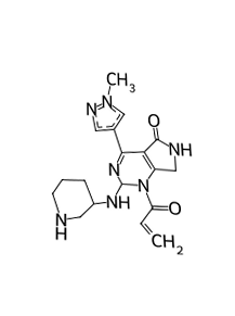 C=CC(=O)N1C2=C(C(=O)NC2)C(c2cnn(C)c2)=NC1NC1CCCNC1